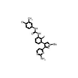 Cc1cc(NC(=O)Nc2cccc(-c3cn(C(C)(C)C)nc3-c3ccnc(N)n3)c2F)ccc1Cl